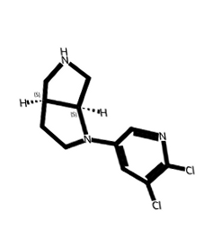 Clc1cc(N2CC[C@H]3CNC[C@H]32)cnc1Cl